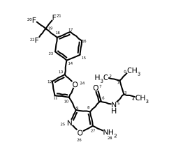 CC(C)C(C)NC(=O)c1c(-c2ccc(-c3cccc(C(F)(F)F)c3)o2)noc1N